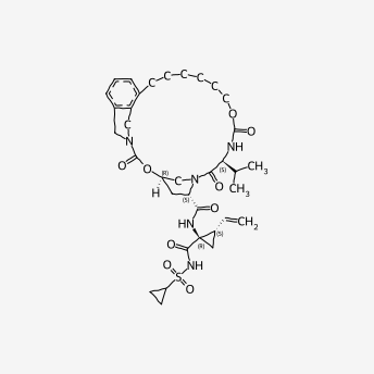 C=C[C@@H]1C[C@]1(NC(=O)[C@@H]1C[C@@H]2CN1C(=O)[C@H](C(C)C)NC(=O)OCCCCCCc1cccc3c1CN(C3)C(=O)O2)C(=O)NS(=O)(=O)C1CC1